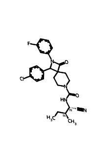 CC[C@H](C)[C@@H](C#N)NC(=O)N1CCC2(CC1)C(=O)N(c1cccc(F)c1)C2c1ccc(Cl)cc1